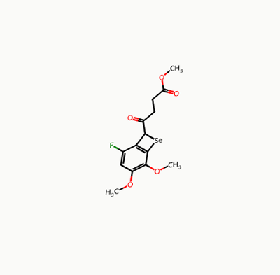 COC(=O)CCC(=O)C1[Se]c2c(OC)c(OC)cc(F)c21